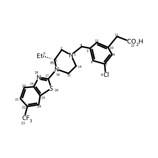 CC[C@@H]1CN(Cc2cc(Cl)cc(CC(=O)O)c2)CCN1c1nc2ccc(C(F)(F)F)cc2s1